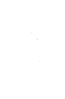 CCCCN(CCCC)C(=S)[S-].CCCCN(CCCC)C(=S)[S-].[S]=[Mo+2]